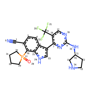 N#Cc1ccc2c(-c3nc(N[C@H]4CCNC4)ncc3C(F)(F)F)c[nH]c2c1P1(=O)CCCC1